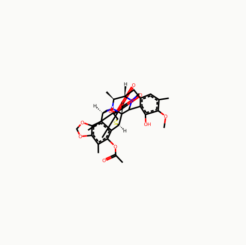 COc1c(C)cc2c(c1O)C1[C@@H]3[C@@H]4SCC(=O)C(=O)OCC[C@@H](c5c6c(c(C)c(OC(C)=O)c54)OCO6)N3[C@@H](C)[C@H](C2)N1C